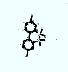 Cc1ccc2c(c1)[Si](C)(C)[Si](C)(C)c1cc(C)ccc1-2